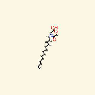 CCCCCCCCCCCCCCN(CC(=O)O)C(C)=O